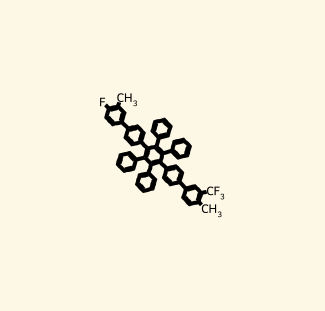 Cc1cc(-c2ccc(-c3c(-c4ccccc4)c(-c4ccccc4)c(-c4ccc(-c5ccc(C)c(C(F)(F)F)c5)cc4)c(-c4ccccc4)c3-c3ccccc3)cc2)ccc1F